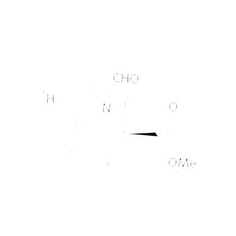 COC(=O)[C@]12CC[C@@H](CC1)N2C=O